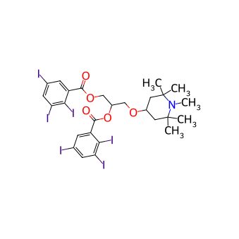 CN1C(C)(C)CC(OCC(COC(=O)c2cc(I)cc(I)c2I)OC(=O)c2cc(I)cc(I)c2I)CC1(C)C